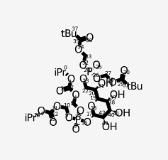 CC(C)OC(=O)OCOP(=O)(OCOC(=O)OC(C)C)O[C@@H]1O[C@H]([C@H](O)COP(=O)(OCOC(=O)C(C)(C)C)OCOC(=O)C(C)(C)C)[C@@H](O)[C@H](O)[C@@H]1O